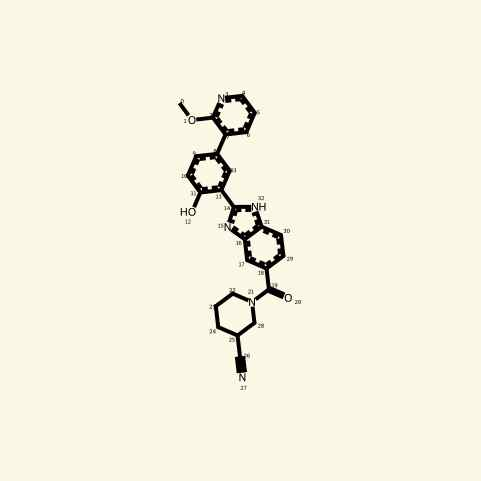 COc1ncccc1-c1ccc(O)c(-c2nc3cc(C(=O)N4CCCC(C#N)C4)ccc3[nH]2)c1